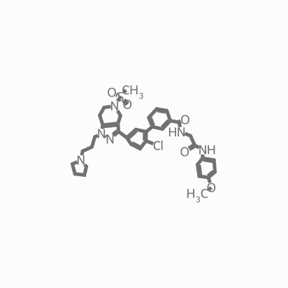 COc1ccc(NC(=O)CNC(=O)c2cccc(-c3cc(-c4nn(CCCN5CCCC5)c5c4CN(S(C)(=O)=O)CC5)ccc3Cl)c2)cc1